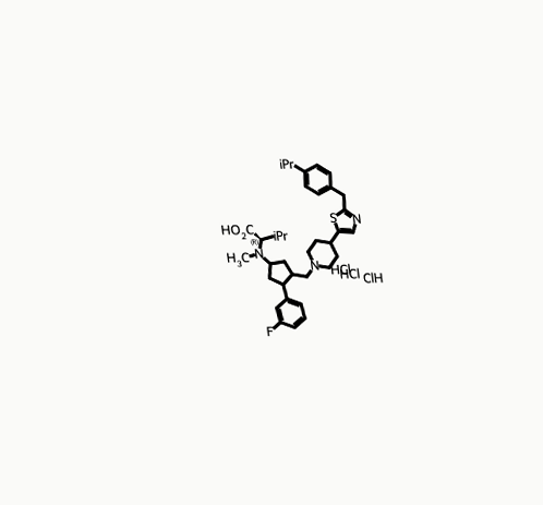 CC(C)c1ccc(Cc2ncc(C3CCN(CC4CC(N(C)[C@@H](C(=O)O)C(C)C)CC4c4cccc(F)c4)CC3)s2)cc1.Cl.Cl.Cl